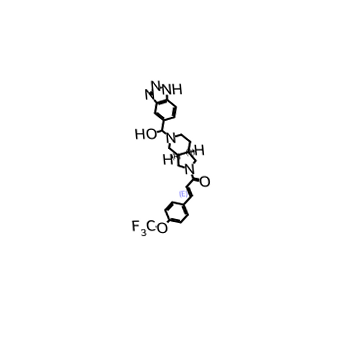 O=C(/C=C/c1ccc(OC(F)(F)F)cc1)N1C[C@H]2CCN(C(O)c3ccc4[nH]nnc4c3)C[C@@H]2C1